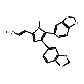 Cn1c(/C=C/C(=O)O)cc(-c2ccc3c(c2)OCO3)c1-c1ccc2c(c1)OCO2